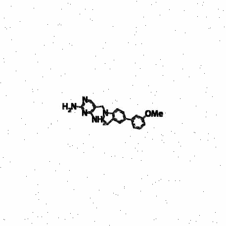 COc1cccc(-c2ccc3c(c2)CCN3Cc2cnc(N)nc2N)c1